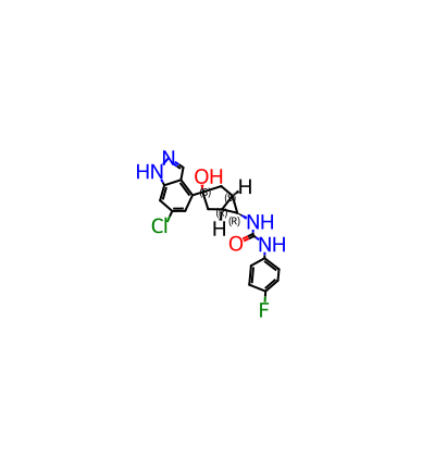 O=C(Nc1ccc(F)cc1)N[C@H]1[C@@H]2C[C@](O)(c3cc(Cl)cc4[nH]ncc34)C[C@@H]21